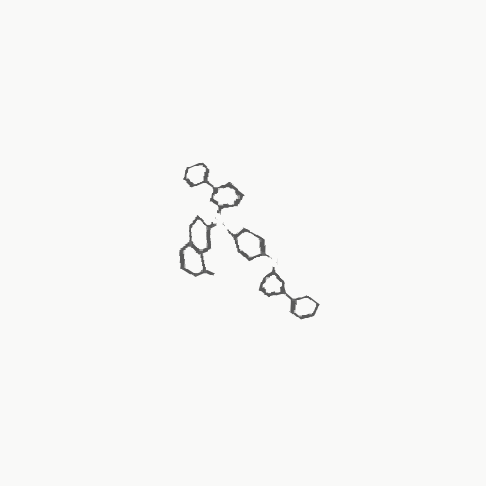 CC1CC=CC2=C1C=C(N(c1cccc(C3=CCCC=C3)c1)C1C=CC(Nc3cccc(C4=CC=CCC4)c3)=CC1)CC2